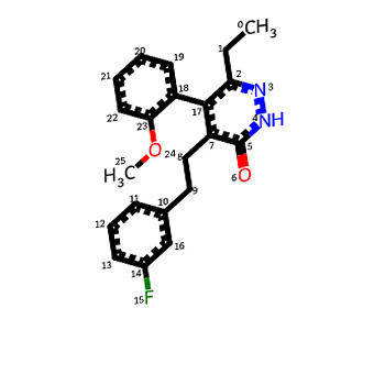 CCc1n[nH]c(=O)c(CCc2cccc(F)c2)c1-c1ccccc1OC